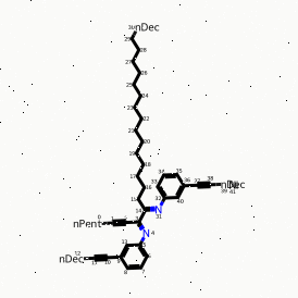 CCCCCC#CC(=Nc1cccc(C#CCCCCCCCCCC)c1)C(CCCCCCCCCCCCCCCCCCCCCCCCC)=Nc1cccc(C#CCCCCCCCCCC)c1.[Ni]